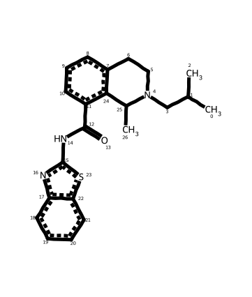 C[C](C)CN1CCc2cccc(C(=O)Nc3nc4ccccc4s3)c2C1C